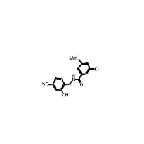 COc1cc(Cl)cc(C(=O)NCc2ccc(C#N)cc2O)c1